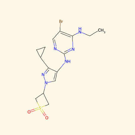 CCNc1nc(Nc2cn(C3CS(=O)(=O)C3)nc2C2CC2)ncc1Br